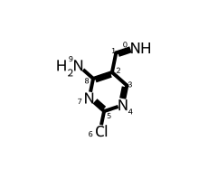 N=Cc1cnc(Cl)nc1N